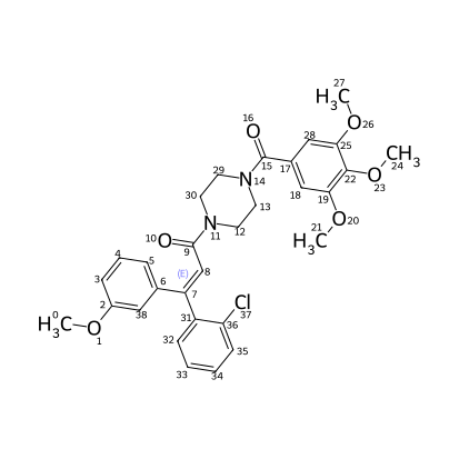 COc1cccc(/C(=C\C(=O)N2CCN(C(=O)c3cc(OC)c(OC)c(OC)c3)CC2)c2ccccc2Cl)c1